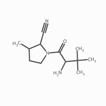 CC1CCN(C(=O)C(N)C(C)(C)C)C1C#N